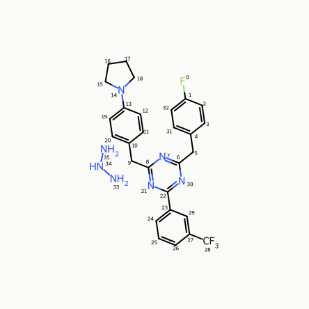 Fc1ccc(Cc2nc(Cc3ccc(N4CCCC4)cc3)nc(-c3cccc(C(F)(F)F)c3)n2)cc1.NNN